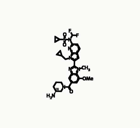 COc1cc(C(=O)N2CCC[C@@H](N)C2)cc2nc(-c3cc4ccc(N(C(F)F)S(=O)(=O)C5CC5)nc4n3CC3CC3)n(C)c12